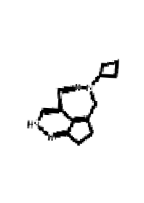 C1=NN(C2CCC2)CC2=C3C1=CNN=C3CC2